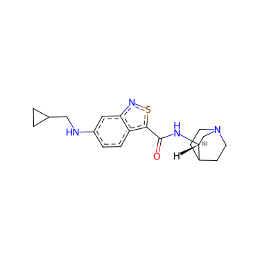 O=C(N[C@@H]1CN2CCC1CC2)c1snc2cc(NCC3CC3)ccc12